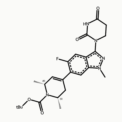 C[C@@H]1C=C(c2cc3c(cc2F)c(N2CCC(=O)NC2=O)nn3C)C[C@H](C)N1C(=O)OC(C)(C)C